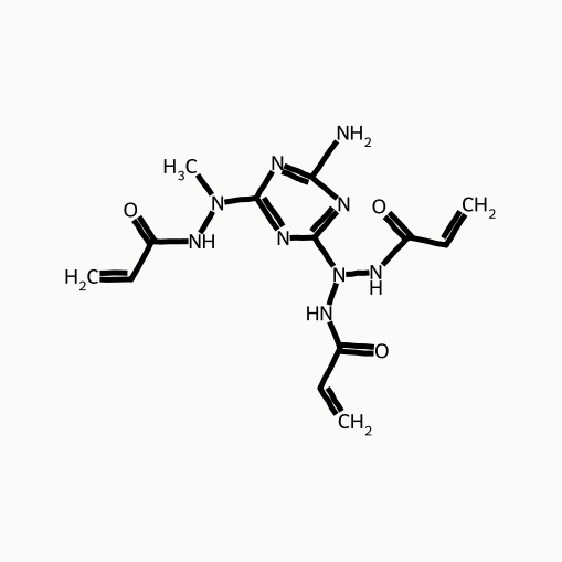 C=CC(=O)NN(C)c1nc(N)nc(N(NC(=O)C=C)NC(=O)C=C)n1